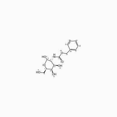 O=C(N[C@H]1C(O)O[C@H](CO)[C@H](O)[C@@H]1O)OCc1ccccc1